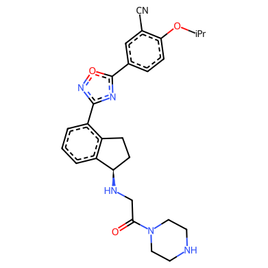 CC(C)Oc1ccc(-c2nc(-c3cccc4c3CC[C@H]4NCC(=O)N3CCNCC3)no2)cc1C#N